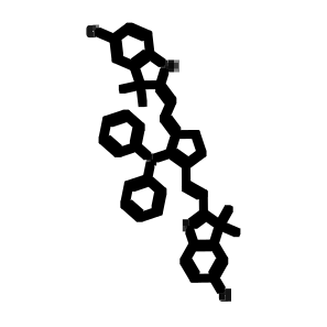 CC1(C)C(C=CC2=C(N(c3ccccc3)c3ccccc3)/C(=C/C=C3Nc4ccc(Cl)cc4C3(C)C)CC2)=Nc2ccc(Cl)cc21